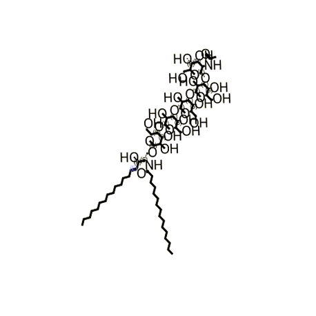 CCCCCCCCCCCCC/C=C/[C@@H](O)[C@H](CO[C@@H]1OC(CO)[C@@H](O[C@@H]2OC(CO)[C@H](O)[C@H](O[C@H]3OC(CO)[C@H](O)[C@H](O[C@H]4OC(CO)[C@H](O)[C@H](O[C@@H]5OC(CO)[C@H](O)[C@H](O)C5NC(C)=O)C4O)C3O)C2O)[C@H](O)C1O)NC(=O)CCCCCCCCCCCCCCC